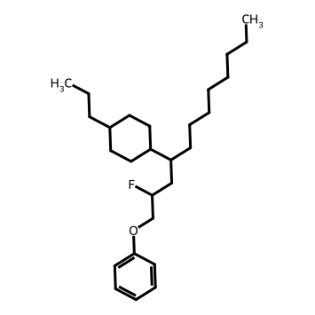 CCCCCCCCC(CC(F)COc1ccccc1)C1CCC(CCC)CC1